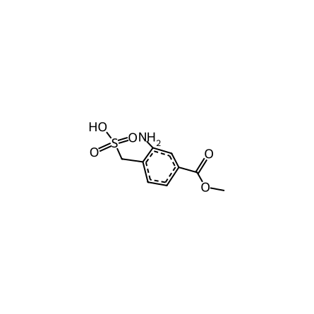 COC(=O)c1ccc(CS(=O)(=O)O)c(N)c1